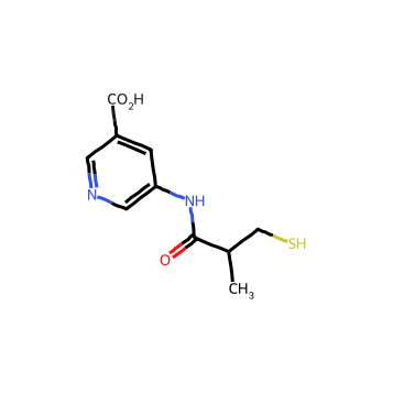 CC(CS)C(=O)Nc1cncc(C(=O)O)c1